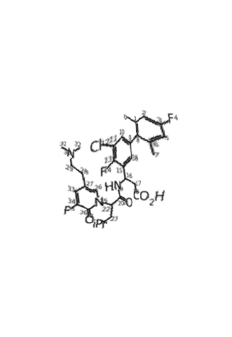 Cc1cc(F)cc(C)c1-c1cc(Cl)c(F)c(C(CC(=O)O)NC(=O)C(CC(C)C)n2cc(CCN(C)C)cc(F)c2=O)c1